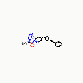 CCCC(N)C(=O)N1CCC(Cc2ccc(C#Cc3ccccc3)cc2)CC1